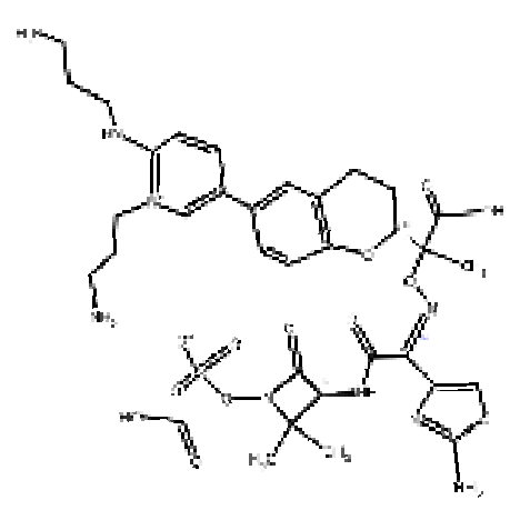 CC(O/N=C(\C(=O)N[C@@H]1C(=O)N(OS(=O)(=O)[O-])C1(C)C)c1csc(N)n1)(C(=O)O)[C@H]1CCc2cc(-c3ccc(NCCCN)[n+](CCCN)c3)ccc2O1.O=CO